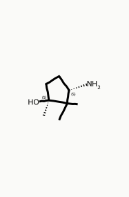 CC1(C)[C@@H](N)CC[C@]1(C)O